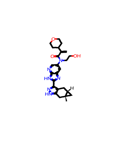 C=C(C(=O)N(CCO)c1cnc2[nH]c(-c3n[nH]c4c3C[C@@H]3C[C@]3(C)C4)nc2c1)C1CCOCC1